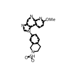 COc1ccc2c(ncc3ncn(-c4ccc5c(c4)CN([SH](=O)=O)CC5)c32)n1